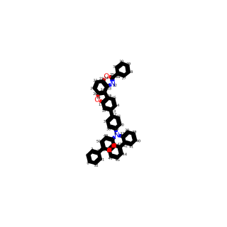 c1ccc(-c2ccc(N(c3ccc(-c4ccc5c(c4)oc4ccc6oc(-c7ccccc7)nc6c45)cc3)c3ccccc3-c3ccccc3)cc2)cc1